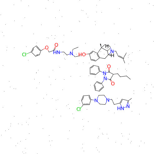 CC(C)=CCN1CC[C@@]2(C)c3cc(O)ccc3C[C@@H]1[C@@H]2C.CCCCC1C(=O)N(c2ccccc2)N(c2ccccc2)C1=O.CCN(CC)CCNC(=O)COc1ccc(Cl)cc1.Cc1cc(CCN2CCN(c3cccc(Cl)c3)CC2)[nH]n1